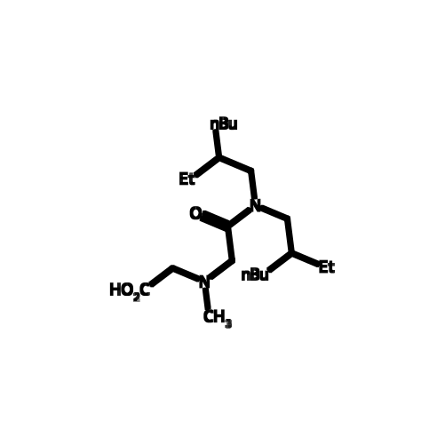 CCCCC(CC)CN(CC(CC)CCCC)C(=O)CN(C)CC(=O)O